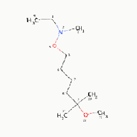 CCN(C)OCCCCC(C)(C)OC